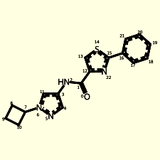 O=C(Nc1cnn(C2CCC2)c1)c1csc(-c2ccccc2)n1